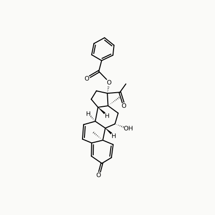 CC(=O)[C@]1(OC(=O)c2ccccc2)CC[C@H]2[C@@H]3C=CC4=CC(=O)C=C[C@]4(C)[C@H]3[C@@H](O)C[C@@]21C